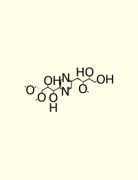 COC[C@@H](OC)C(O)C(O)c1cnc(C[C@H](OC)[C@H](O)CO)cn1